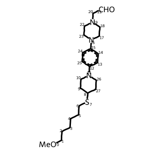 COCCCCCCSC1CCN(c2ccc(N3CCN(CC=O)CC3)cc2)CC1